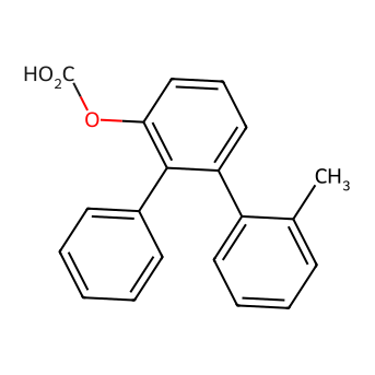 Cc1ccccc1-c1cccc(OC(=O)O)c1-c1ccccc1